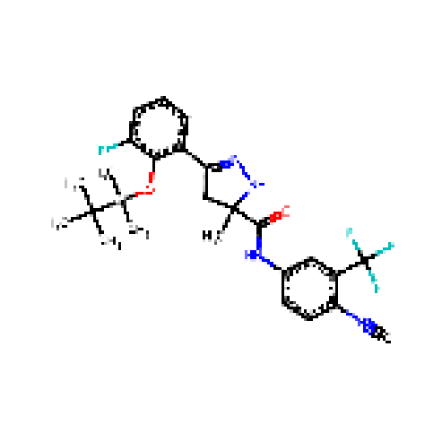 [C-]#[N+]c1ccc(NC(=O)C2(C)CC(c3cccc(F)c3O[Si](C)(C)C(C)(C)C)=NN2)cc1C(F)(F)F